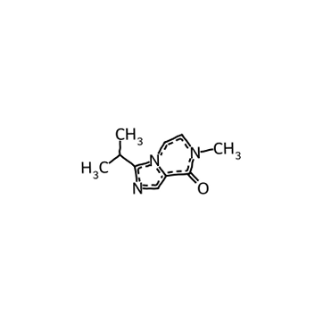 CC(C)c1ncc2c(=O)n(C)ccn12